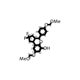 COCOc1ccc(C2Oc3c(O)cc(OCOC)cc3C3CC(F)(F)CC32)cc1